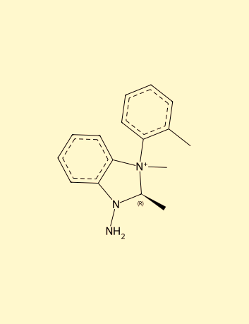 Cc1ccccc1[N+]1(C)c2ccccc2N(N)[C@@H]1C